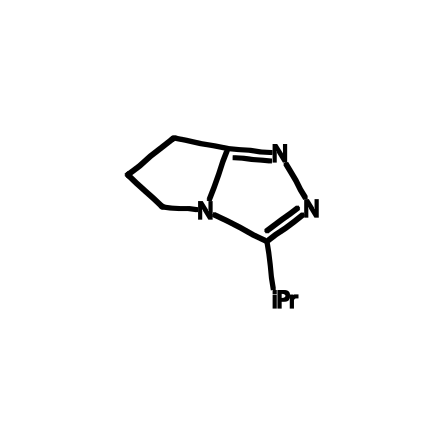 CC(C)c1nnc2n1CCC2